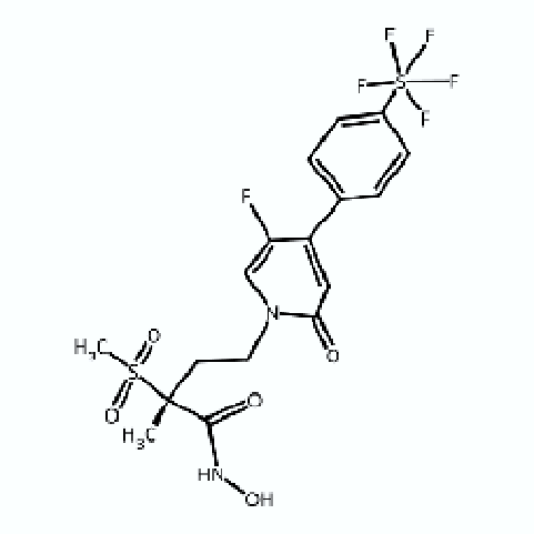 C[C@@](CCn1cc(F)c(-c2ccc(S(F)(F)(F)(F)F)cc2)cc1=O)(C(=O)NO)S(C)(=O)=O